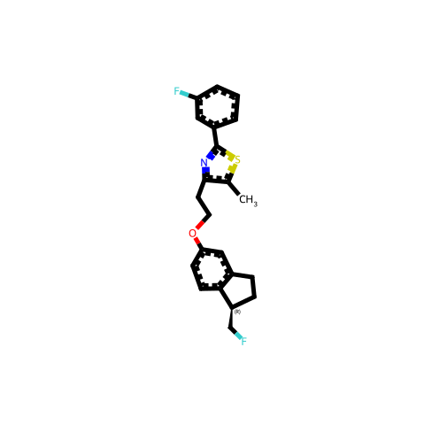 Cc1sc(-c2cccc(F)c2)nc1CCOc1ccc2c(c1)CC[C@H]2CF